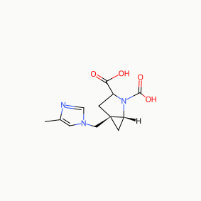 Cc1cn(C[C@@]23CC(C(=O)O)N(C(=O)O)[C@@H]2C3)cn1